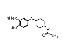 CCCCCCc1cc(NC2CCC(OC(N)=O)CC2)ccc1C(C)(C)C